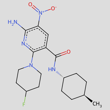 C[C@H]1CC[C@H](NC(=O)c2cc([N+](=O)[O-])c(N)nc2N2CCC(F)CC2)CC1